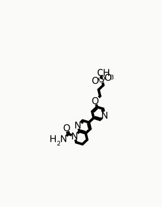 CS(=O)(=O)CCCOc1cncc(-c2cnc3c(c2)CCCN3C(N)=O)c1